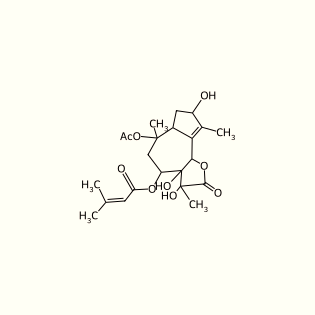 CC(=O)OC1(C)CC(OC(=O)C=C(C)C)C2(O)C(OC(=O)C2(C)O)C2=C(C)C(O)CC21